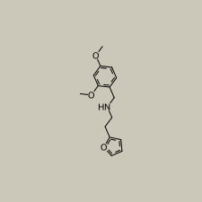 COc1ccc(CNCCc2ccco2)c(OC)c1